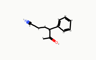 CC(=O)C(CCC#N)c1ccccc1